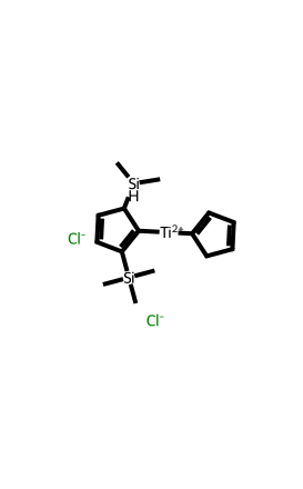 C[SiH](C)C1C=CC([Si](C)(C)C)=[C]1[Ti+2][C]1=CC=CC1.[Cl-].[Cl-]